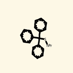 [CH2]CCSC(c1ccccc1)(c1ccccc1)c1ccccc1